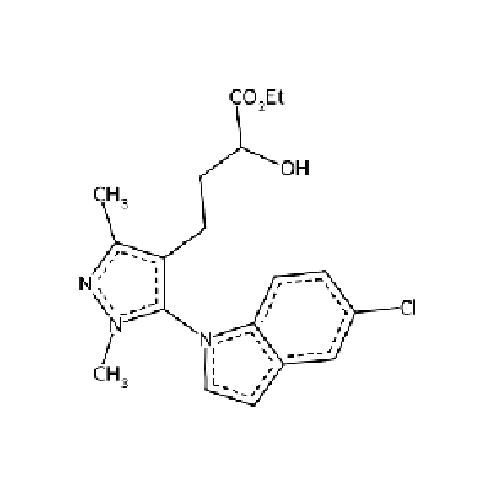 CCOC(=O)C(O)CCc1c(C)nn(C)c1-n1ccc2cc(Cl)ccc21